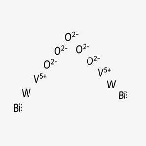 [Bi].[Bi].[O-2].[O-2].[O-2].[O-2].[O-2].[V+5].[V+5].[W].[W]